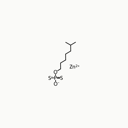 CC(C)CCCCCOP([O-])(=S)[S-].[Zn+2]